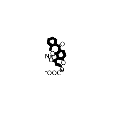 O=C([O-])Oc1cc(=O)c2c3c(ccc2o1)C(=O)c1ccccc1CO3.[Na+]